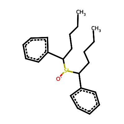 CCCCC(c1ccccc1)[S+]([O-])C(CCCC)c1ccccc1